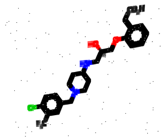 O=C(O)Cc1ccccc1OC[C@@H](O)CNC1CCN(Cc2ccc(Cl)c(C(F)(F)F)c2)CC1